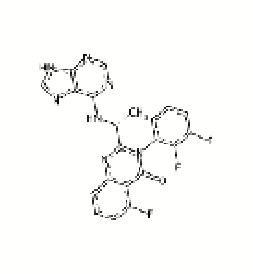 C[C@@H](Nc1ncnc2[nH]cnc12)c1nc2cccc(F)c2c(=O)n1-c1cccc(F)c1F